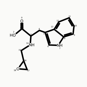 O=C(O)C(Cc1c[nH]c2ccccc12)NCC1CO1